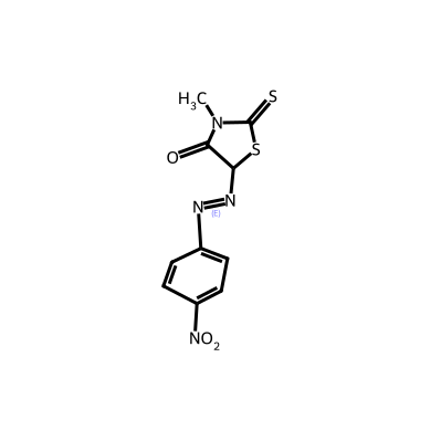 CN1C(=O)C(/N=N/c2ccc([N+](=O)[O-])cc2)SC1=S